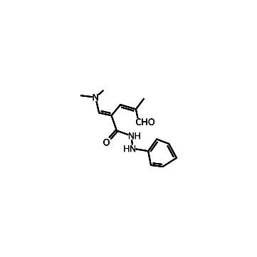 C/C(C=O)=C/C(=C\N(C)C)C(=O)NNc1ccccc1